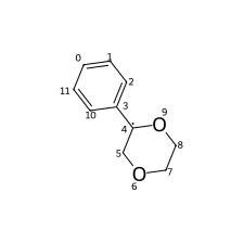 c1ccc([C]2COCCO2)cc1